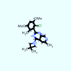 COc1cc(OC)c(Cl)c(-c2nc(N3CC(C)(C)C3)c3cc(C)ncc3n2)c1C